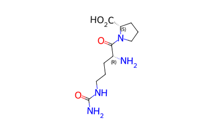 NC(=O)NCCC[C@@H](N)C(=O)N1CCC[C@H]1C(=O)O